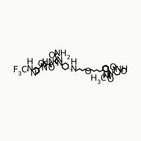 Cn1c(=O)n(C2CCC(=O)NC2=O)c2cccc(CCCCOCCCCNC[C@H]3CC[C@H](n4cc(NC(=O)c5coc(-c6ccnc(NCC(F)(F)F)c6)n5)c(C(N)=O)n4)CC3)c21